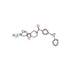 CN(C)Cc1cc2c(o1)CCN(C(=O)c1ccc(C3CC3c3ccccc3)cc1)C2